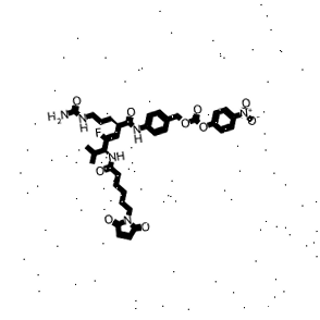 CC(C)[C@H](NC(=O)CCCCCN1C(=O)C=CC1=O)C(F)=C[C@@H](CCCNC(N)=O)C(=O)Nc1ccc(COC(=O)Oc2ccc([N+](=O)[O-])cc2)cc1